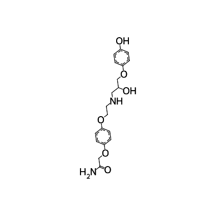 NC(=O)COc1ccc(OCCNCC(O)COc2ccc(O)cc2)cc1